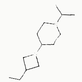 CCC1CN(C2CCN(C(C)C)CC2)C1